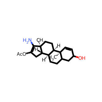 CC(=O)OC1=C(N)[C@@]2(C)CC[C@@H]3[C@@H](CCC4CC(O)C=C[C@@]43C)[C@@H]2C1